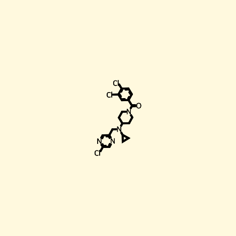 O=C(c1ccc(Cl)c(Cl)c1)N1CCC(N(Cc2cnc(Cl)cn2)C2CC2)CC1